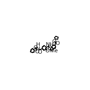 COc1cc(C(=O)NS(=O)(=O)c2ccccc2)ccc1C(N)n1ccc2ccc(C(=O)OC3CCCC3)cc21